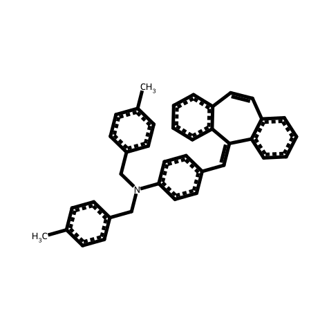 Cc1ccc(CN(Cc2ccc(C)cc2)c2ccc(C=C3c4ccccc4C=Cc4ccccc43)cc2)cc1